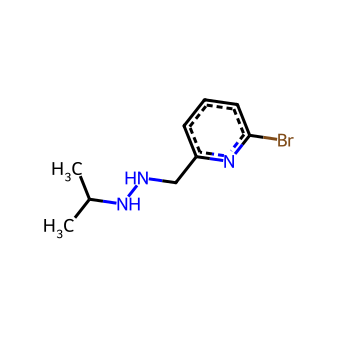 CC(C)NNCc1cccc(Br)n1